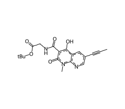 CC#Cc1cnc2c(c1)c(O)c(C(=O)NCC(=O)OC(C)(C)C)c(=O)n2C